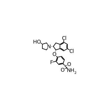 NS(=O)(=O)c1ccc(O[C@H]2c3cc(Cl)cc(Cl)c3C[C@H]2N2CC[C@@H](O)C2)c(F)c1